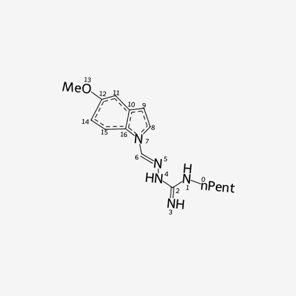 CCCCCNC(=N)NN=Cn1ccc2cc(OC)ccc21